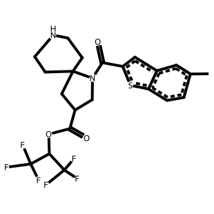 Cc1ccc2sc(C(=O)N3CC(C(=O)OC(C(F)(F)F)C(F)(F)F)CC34CCNCC4)cc2c1